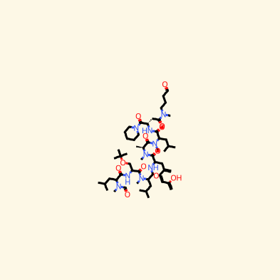 C=C(O)/C=C\C(=C)CC(NC(=O)C(CC(C)C)N(C)C(=O)C(COC(C)(C)C)NC(=O)C(CC(C)C)N(C)C=O)C(=O)N(C)[C@@H](C)C(=O)N(C)C(CC(C)C)C(=O)N[C@@H](CC(=O)N(C)CCCC=O)C(=O)N1CCCCC1